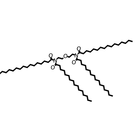 CCCCCCCCCCCCCCCC(=O)N(CCOCCN(C(=O)CCCCCCCCCCCCCCC)C(=O)CCCCCCCCCCCCCCC)C(=O)CCCCCCCCCCCCCCC